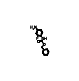 Nc1ccc(NC(=O)OCc2ccccc2)c(F)c1